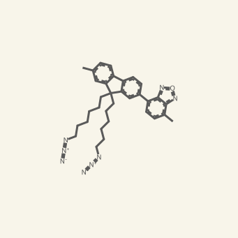 Cc1ccc2c(c1)C(CCCCCCN=[N+]=[N-])(CCCCCCN=[N+]=[N-])c1cc(-c3ccc(C)c4nonc34)ccc1-2